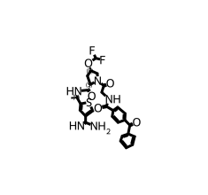 C[C@@H](NC(=O)[C@@H]1C[C@@H](OC(F)F)CN1C(=O)CNC(=O)c1ccc(C(=O)c2ccccc2)cc1)c1cc(C(=N)N)cs1